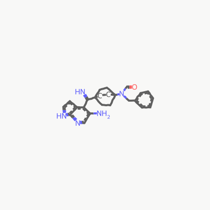 N=C(c1c(N)cnc2[nH]ccc12)C12CCC(N(C=O)Cc3ccccc3)(CC1)CC2